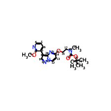 COc1ncccc1-c1cnn2ccc(OCCN(C)C(=O)OC(C)(C)C)nc12